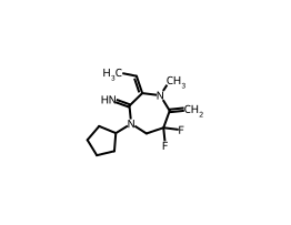 C=C1N(C)/C(=C/C)C(=N)N(C2CCCC2)CC1(F)F